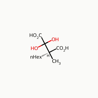 CCCCCC[C@@](C)(C(=O)O)C(O)(O)C(=O)O